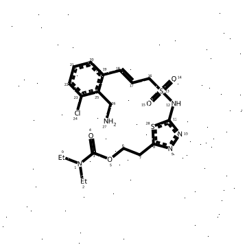 CCN(CC)C(=O)OCCc1nnc(NS(=O)(=O)CC=Cc2cccc(Cl)c2CN)s1